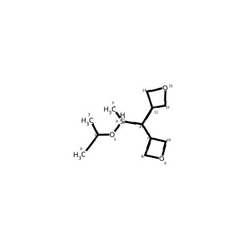 CC(C)O[SiH](C)C(C1COC1)C1COC1